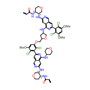 C=CC(=O)N[C@H]1CCOC[C@H]1Nc1cc2c(NC3COC(COc4cc(OC)c(Cl)c(-c5cc6cnc(N[C@@H]7COCC[C@@H]7NC(=O)C=C)cc6c(NC6CCOCC6)n5)c4Cl)C3)nc(-c3c(Cl)c(OC)cc(OC)c3Cl)cc2cn1